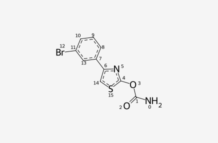 NC(=O)Oc1nc(-c2cccc(Br)c2)cs1